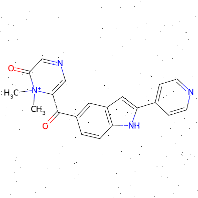 C[N+]1(C)C(=O)C=NC=C1C(=O)c1ccc2[nH]c(-c3ccncc3)cc2c1